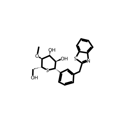 CO[C@H]1[C@H](O)[C@@H](O)[C@H](c2cccc(Cc3nc4ccccc4s3)c2)S[C@@H]1CO